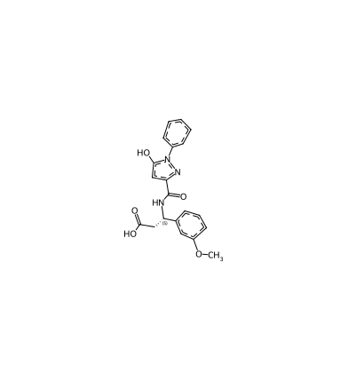 COc1cccc([C@H](CC(=O)O)NC(=O)c2cc(O)n(-c3ccccc3)n2)c1